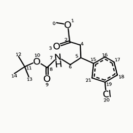 COC(=O)CC(CNC(=O)OC(C)(C)C)c1cccc(Cl)c1